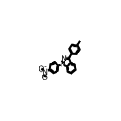 Cc1ccc(-c2nn(-c3ccc([N+](=O)[O-])cc3)c3ccccc23)cc1